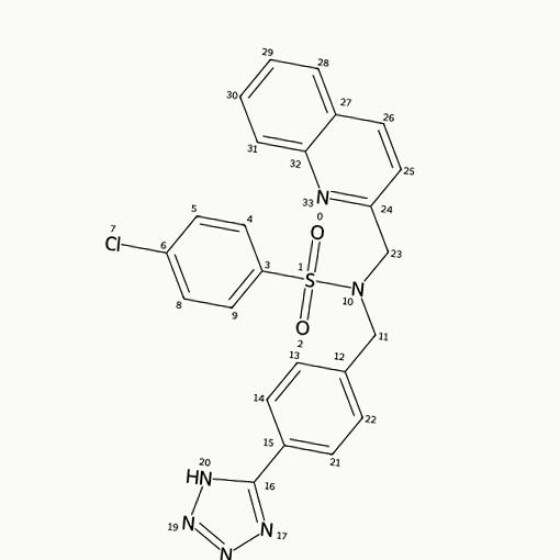 O=S(=O)(c1ccc(Cl)cc1)N(Cc1ccc(-c2nnn[nH]2)cc1)Cc1ccc2ccccc2n1